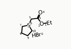 Br.CCOC(=O)C[S]1CCCC1